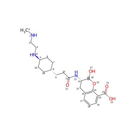 CNCCN[C@H]1CC[C@H](CCC(=O)N[C@H]2Cc3cccc(C(=O)O)c3OB2O)CC1